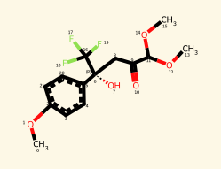 COc1ccc([C@](O)(CC(=O)C(OC)OC)C(F)(F)F)cc1